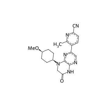 CO[C@H]1CC[C@@H](N2CC(=O)Nc3ncc(-c4ccc(C#N)nc4C)nc32)CC1